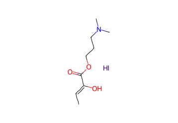 CC=C(O)C(=O)OCCCN(C)C.I